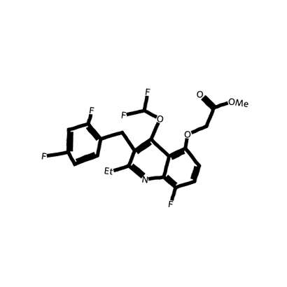 CCc1nc2c(F)ccc(OCC(=O)OC)c2c(OC(F)F)c1Cc1ccc(F)cc1F